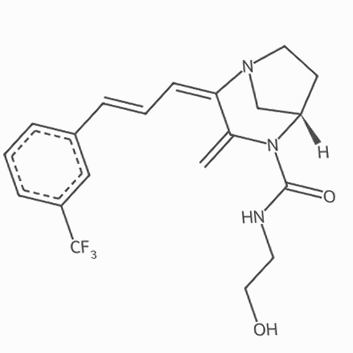 C=C1/C(=C\C=C\c2cccc(C(F)(F)F)c2)N2CC[C@@H](C2)N1C(=O)NCCO